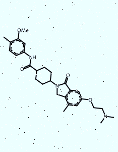 COc1cc(NC(=O)C2CCC(N3Cc4c(C)cc(OCCN(C)C)cc4C3=O)CC2)ccc1C